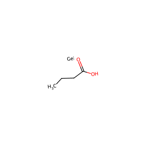 CCCC(=O)O.[Ge]